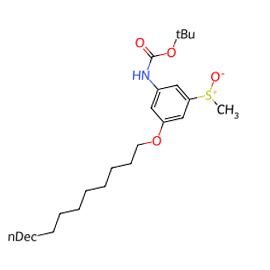 CCCCCCCCCCCCCCCCCCOc1cc(NC(=O)OC(C)(C)C)cc([S+](C)[O-])c1